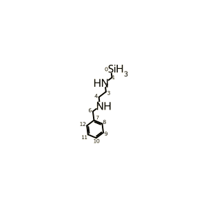 [SiH3]CNCCNCc1ccccc1